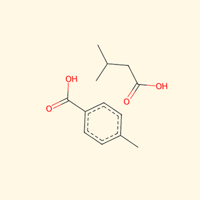 CC(C)CC(=O)O.Cc1ccc(C(=O)O)cc1